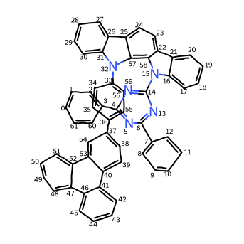 c1ccc(-c2nc(-c3ccccc3)nc(-n3c4ccccc4c4ccc5c6ccccc6n(-c6ccc(-c7ccc8c9ccccc9c9ccccc9c8c7)cc6)c5c43)n2)cc1